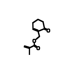 C=C(C)C(=O)OCC1=CCCCC1=O